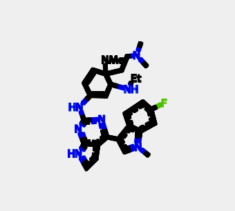 CCNC1C=C(Nc2nc(-c3cn(C)c4cc(F)ccc34)c3cc[nH]c3n2)C=CC1(CCN(C)C)NC